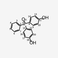 O=P(c1ccccc1)(c1ccc(O)cc1)c1ccc(O)cc1